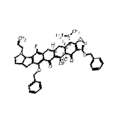 C=CCN1CCC2Cc3c(OCc4ccccc4)c4c(c(F)c3C21)C[C@H]1C[C@H]2[C@H](N(C)C)c3onc(OCc5ccccc5)c3C(=O)[C@@]2(O)C(O)=C1C4=O